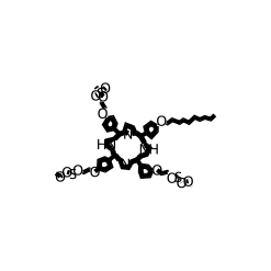 CCCCCCCCCCOc1ccc(-c2c3nc(c(-c4ccc(OCCOS(C)(=O)=O)cc4)c4ccc([nH]4)c(-c4ccc(OCCOSOOC)cc4)c4nc(c(-c5cccc(OCCOSOOC)c5)c5ccc2[nH]5)C=C4)C=C3)cc1